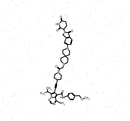 COCc1ccc(NC(=O)c2c(C#CC3CCN(C(=O)CN4CCC5(CC4)CCN(c4ccc6c(c4)CN(C4CCC(=O)NC4=O)C6=O)CC5)CC3)c(C(C)C)n3ncnc(N)c23)cc1